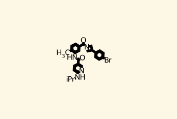 Cc1ccc(C(=O)N2CC(c3ccc(Br)cc3)C2)cc1NC(=O)c1ccc(NC(C)C)nc1